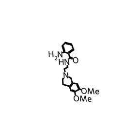 COc1cc2c(cc1OC)CN(CCNC(=O)c1ccccc1N)CC2